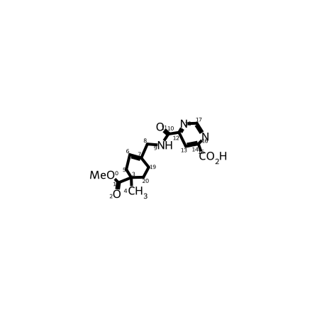 COC(=O)C1(C)CC=C(CNC(=O)c2cc(C(=O)O)ncn2)CC1